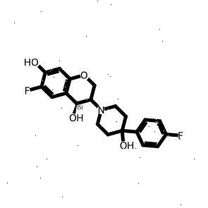 Oc1cc2c(cc1F)[C@H](O)C(N1CCC(O)(c3ccc(F)cc3)CC1)CO2